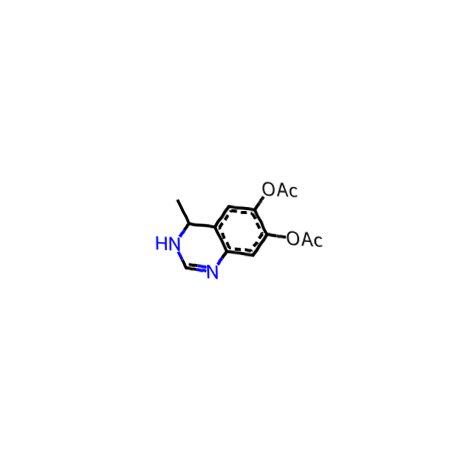 CC(=O)Oc1cc2c(cc1OC(C)=O)C(C)NC=N2